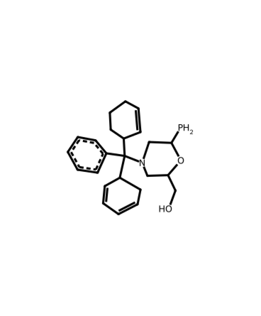 OCC1CN(C(c2ccccc2)(C2C=CC=CC2)C2C=CCCC2)CC(P)O1